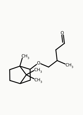 CC(CC=O)COC1CC2CCC1(C)C2(C)C